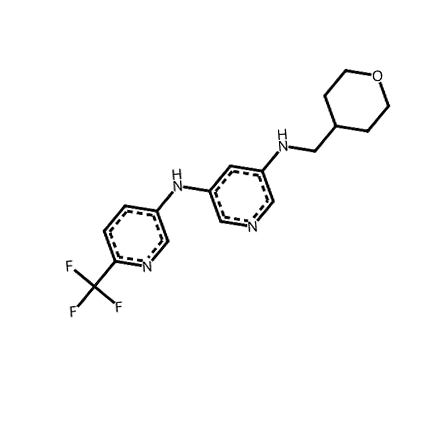 FC(F)(F)c1ccc(Nc2cncc(NCC3CCOCC3)c2)cn1